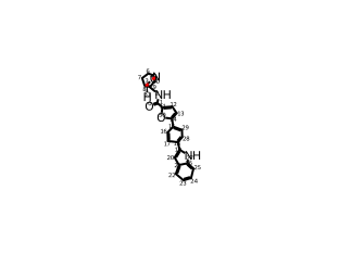 O=C(N[C@H]1CN2CCC1CC2)c1ccc(-c2ccc(-c3cc4ccccc4[nH]3)cc2)o1